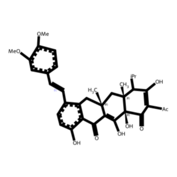 COc1ccc(/C=C/c2ccc(O)c3c2C[C@]2(C)C[C@]4(C)C(C(C)C)C(O)=C(C(C)=O)C(=O)[C@]4(O)C(O)=C2C3=O)cc1OC